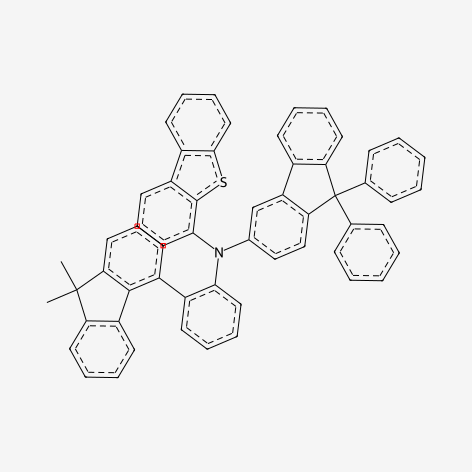 CC1(C)c2ccccc2-c2c(-c3ccccc3N(c3ccc4c(c3)-c3ccccc3C4(c3ccccc3)c3ccccc3)c3cccc4c3sc3ccccc34)cccc21